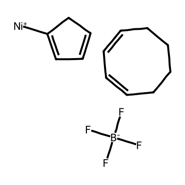 C1=C\CCCC\C=C/1.F[B-](F)(F)F.[Ni+][C]1=CC=CC1